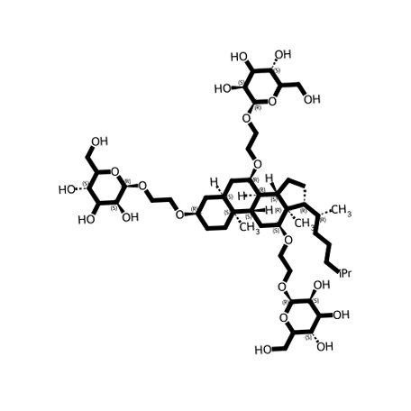 CC(C)CCC[C@@H](C)[C@H]1CC[C@H]2[C@@H]3[C@H](OCCO[C@@H]4OC(CO)[C@@H](O)C(O)[C@@H]4O)C[C@@H]4C[C@H](OCCO[C@@H]5OC(CO)[C@@H](O)C(O)[C@@H]5O)CC[C@]4(C)[C@H]3C[C@H](OCCO[C@@H]3OC(CO)[C@@H](O)C(O)[C@@H]3O)[C@]12C